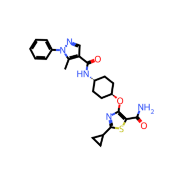 Cc1c(C(=O)N[C@H]2CC[C@H](Oc3nc(C4CC4)sc3C(N)=O)CC2)cnn1-c1ccccc1